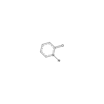 [N]n1ccccc1=O